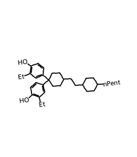 CCCCCC1CCC(CCC2CCC(c3ccc(O)c(CC)c3)(c3ccc(O)c(CC)c3)CC2)CC1